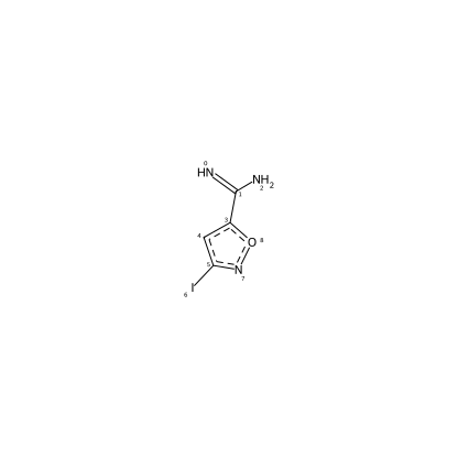 N=C(N)c1cc(I)no1